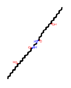 CCCCCC=CCC=C(O)CC=CCC=CCCCC(=O)NCCNC(=O)CCCC=CCC=CCC(O)=CCC=CCCCCC